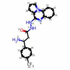 NC(CC(=O)NNc1nc2ccccc2n2cccc12)c1ccc(C(F)(F)F)cc1